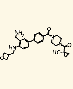 NCc1cc(-c2ccc(C(=O)N3CCN(C(=O)C4(O)CC4)CC3)cc2)ccc1NCC1COC1